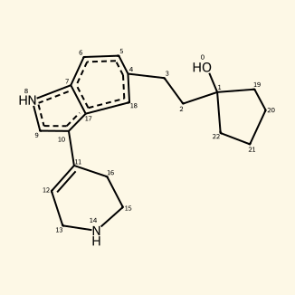 OC1(CCc2ccc3[nH]cc(C4=CCNCC4)c3c2)CCCC1